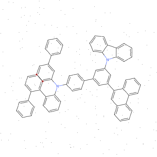 c1ccc(-c2cccc(N(c3ccc(-c4cc(-c5cc6ccccc6c6ccccc56)cc(-n5c6ccccc6c6ccccc65)c4)cc3)c3ccccc3-c3ccccc3-c3ccccc3)c2)cc1